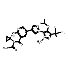 COC(=O)N(C(=O)c1cc(-c2cnn(-c3c(OC(F)F)c(C(F)(F)C(F)(F)F)nn3C)c2)cnc1Cl)C1(C#N)CC1